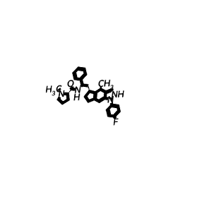 C[C@H]1C2=CNN(c3ccc(F)cc3)C2=CC2=C1[C@@H](CC(NC(=O)[C@@H]1CCCN1C)c1ccccc1)CC2